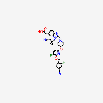 N#CCC1(Cn2c(CN3CCC(Oc4ccc(F)c(OCc5ccc(C#N)cc5F)n4)CC3)nc3ccc(CC(=O)O)cc32)CC1